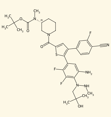 CNN(CC(C)(C)O)c1c(N)cc(-c2sc(C(=O)N3CCC[C@@H](N(C)C(=O)OC(C)(C)C)C3)cc2-c2ccc(C#N)c(F)c2)c(F)c1F